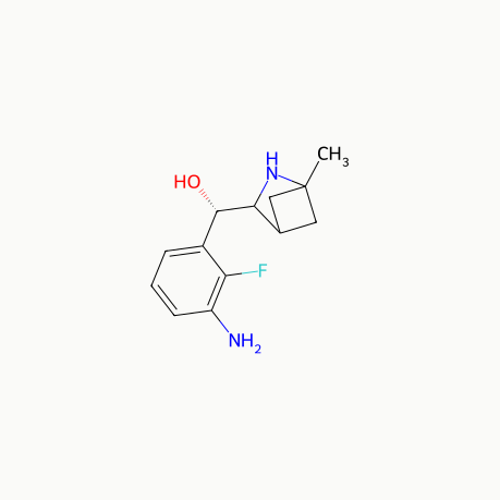 CC12CC(C1)C([C@@H](O)c1cccc(N)c1F)N2